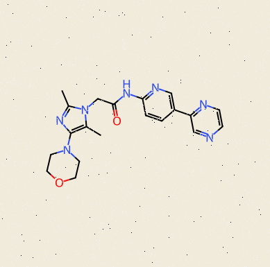 Cc1nc(N2CCOCC2)c(C)n1CC(=O)Nc1ccc(-c2cnccn2)cn1